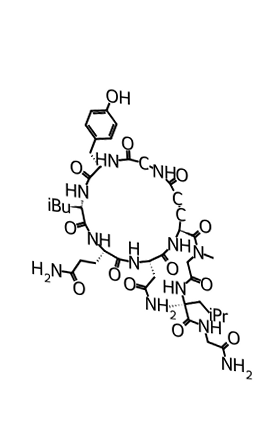 CC[C@H](C)[C@@H]1NC(=O)[C@H](Cc2ccc(O)cc2)NC(=O)CNC(=O)CC[C@@H](C(=O)N(C)CC(=O)N[C@@](C)(CC(C)C)C(=O)NCC(N)=O)NC(=O)[C@H](CC(N)=O)NC(=O)[C@H](CCC(N)=O)NC1=O